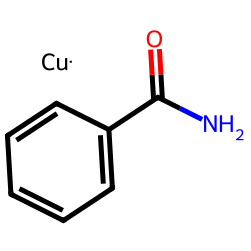 NC(=O)c1ccccc1.[Cu]